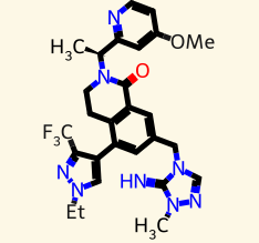 CCn1cc(-c2cc(Cn3cnn(C)c3=N)cc3c2CCN([C@@H](C)c2cc(OC)ccn2)C3=O)c(C(F)(F)F)n1